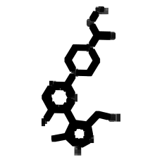 Cc1[nH]nc(CO)c1-c1nc(N2CCN(C(=O)OC(C)(C)C)CC2)ncc1F